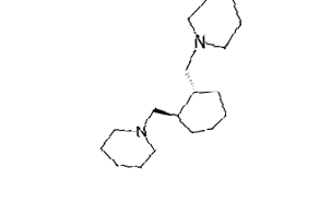 C1CCN(C[C@@H]2CCCC[C@H]2CN2CCCCC2)CC1